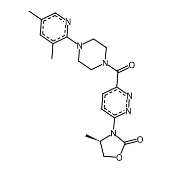 Cc1cnc(N2CCN(C(=O)c3ccc(N4C(=O)OC[C@H]4C)nn3)CC2)c(C)c1